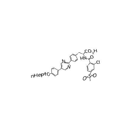 CCCCCCCOc1ccc(-c2cnc(-c3ccc(C[C@H](NC(=O)c4ccc(S(C)(=O)=O)cc4Cl)C(=O)O)cc3)nc2)cc1